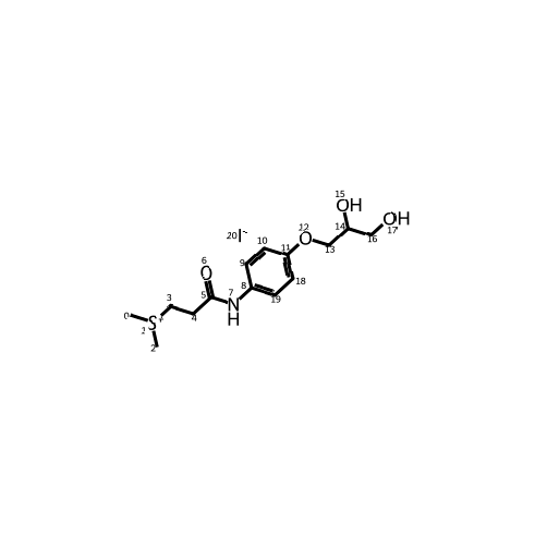 C[S+](C)CCC(=O)Nc1ccc(OCC(O)CO)cc1.[I-]